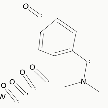 CN(C)[C]c1ccccc1.[C]=O.[C]=O.[C]=O.[C]=O.[C]=O.[W]